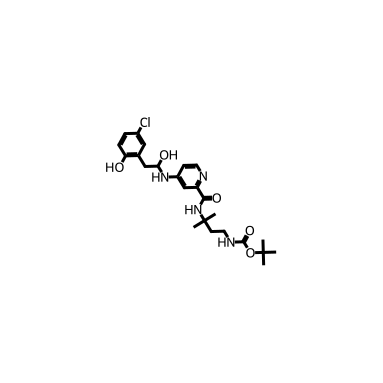 CC(C)(CCNC(=O)OC(C)(C)C)NC(=O)c1cc(NC(O)Cc2cc(Cl)ccc2O)ccn1